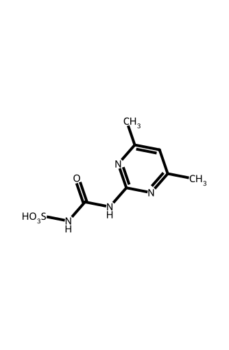 Cc1cc(C)nc(NC(=O)NS(=O)(=O)O)n1